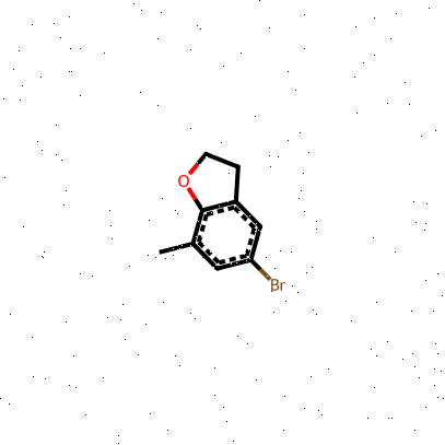 Cc1cc(Br)cc2c1OCC2